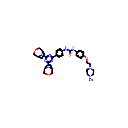 CN1CCN(CCOc2ccc(NC(=O)Nc3ccc(-c4nc(N5C6CCC5COC6)nc(N5C6CCC5COC6)n4)cc3)cc2)CC1